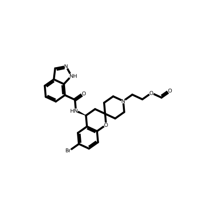 O=COCCN1CCC2(CC1)C[C@H](NC(=O)c1cccc3cn[nH]c13)c1cc(Br)ccc1O2